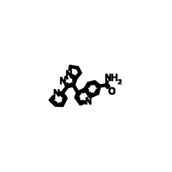 NC(=O)c1ccc2c(-c3c(-c4ccccn4)nn4c3CCC4)ccnc2c1